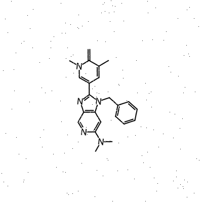 C=C1C(C)=CC(c2nc3cnc(N(C)C)cc3n2Cc2ccccc2)=CN1C